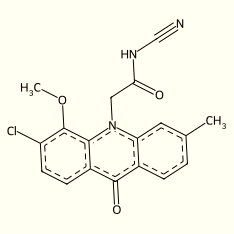 COc1c(Cl)ccc2c(=O)c3ccc(C)cc3n(CC(=O)NC#N)c12